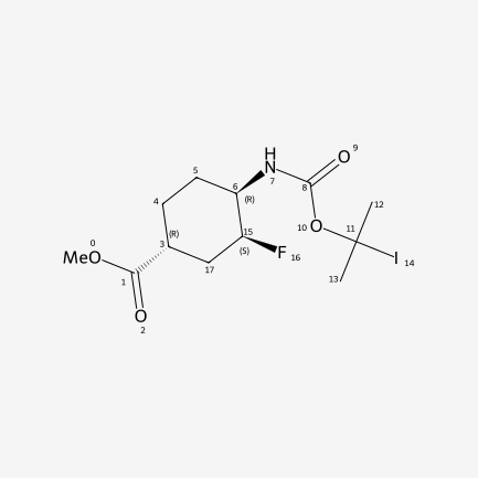 COC(=O)[C@@H]1CC[C@@H](NC(=O)OC(C)(C)I)[C@@H](F)C1